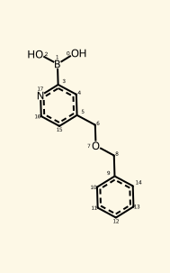 OB(O)c1cc(COCc2ccccc2)ccn1